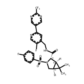 CC1(C)[C@@H]2[C@@H](C(=O)NCc3cc(-c4cnc(C(F)(F)F)nc4)ncc3F)N(S(=O)(=O)c3ccc(F)cc3)C[C@@H]21